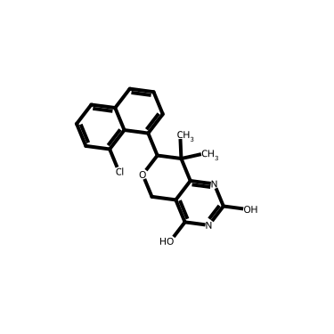 CC1(C)c2nc(O)nc(O)c2COC1c1cccc2cccc(Cl)c12